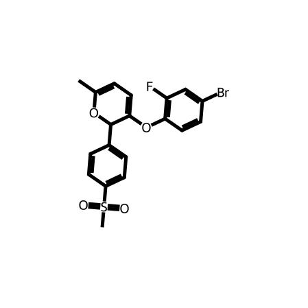 CC1=CC=C(Oc2ccc(Br)cc2F)C(c2ccc(S(C)(=O)=O)cc2)O1